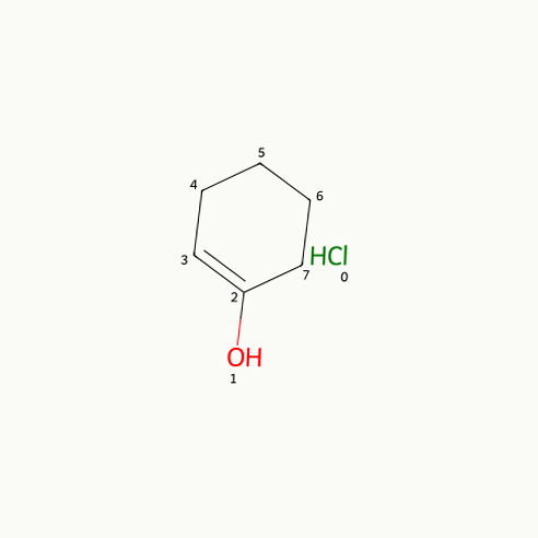 Cl.OC1=CCCCC1